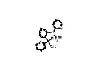 CC(C)(C)P(c1ccccn1)c1ccccc1C(P)(c1ccccn1)C(C)(C)C